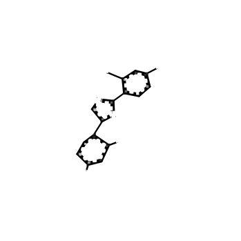 Clc1ccc(-c2c[nH]c(-c3ccc(Cl)cc3Cl)n2)c(Cl)c1